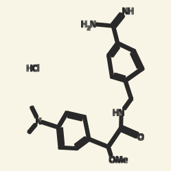 COC(C(=O)NCc1ccc(C(=N)N)cc1)c1ccc(N(C)C)cc1.Cl